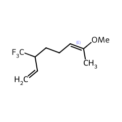 C=CC(CC/C=C(\C)OC)C(F)(F)F